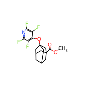 COC(=O)C12CC3CC(CC(Oc4c(F)c(F)nc(F)c4F)(C3)C1)C2